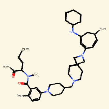 CNC(=O)C(CCC=O)N(C)C(=O)c1cc(N2CCC(CN3CCC4(CC3)CN(C3=CC(NC5CCCCC5)CC(C=O)C=C3)C4)CC2)ccc1C=O